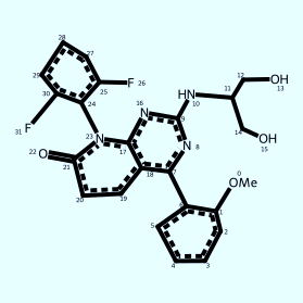 COc1ccccc1-c1nc(NC(CO)CO)nc2c1ccc(=O)n2-c1c(F)cccc1F